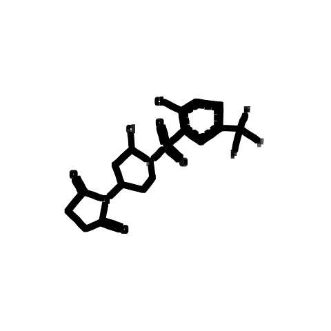 O=C1CCC(=O)N1C1CCN(S(=O)(=O)c2cc(C(F)(F)F)ccc2Cl)C(Cl)C1